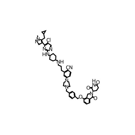 Cn1ncc(-c2nc(NC3CCC(NCCCc4cc(N5CCN(Cc6ccc(COc7cccc8c7CN([C@H]7CCC(=O)NC7=O)C8=O)cc6)CC5)ccc4C#N)CC3)ncc2Cl)c1CC1CC1